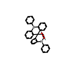 c1ccc(B2c3ccccc3C3(c4ccccc42)c2ccccc2N(c2ccccc2)c2ccccc23)cc1